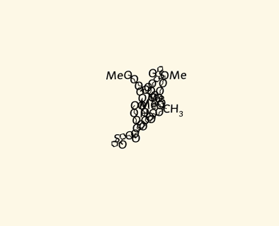 COCCOCCOCC(=O)OCC(COCC(COCC(C)(COC)COCC(O)COCC(COCC(COC(=O)COc1ccc2sc3ccccc3c(=O)c2c1)OC(=O)COCCOCCOC)OC(=O)COCCOCCOC)OC(=O)COCCOCCOC)OC(=O)COc1ccc2sc3ccccc3c(=O)c2c1